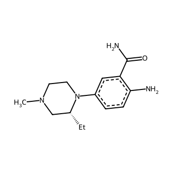 CC[C@@H]1CN(C)CCN1c1ccc(N)c(C(N)=O)c1